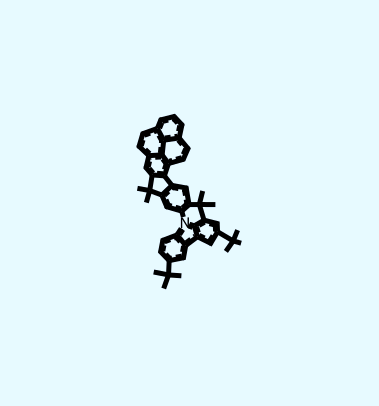 CC(C)(C)c1ccc2c(c1)c1cc(C(C)(C)C)cc3c1n2-c1cc2c(cc1C3(C)C)-c1c(cc3ccc4cccc5ccc1c3c45)C2(C)C